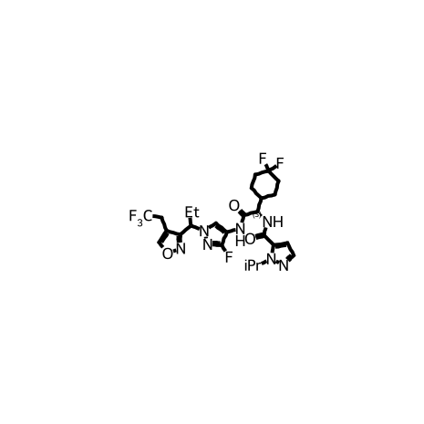 CCC(c1nocc1CC(F)(F)F)n1cc(NC(=O)[C@@H](NC(=O)c2ccnn2C(C)C)C2CCC(F)(F)CC2)c(F)n1